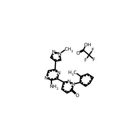 Cc1ccccc1-n1nc(-c2nc(-c3cnn(C)c3)cnc2N)ccc1=O.O=C(O)C(F)(F)F